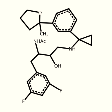 CC(=O)NC(Cc1cc(F)cc(F)c1)C(O)CNC1(c2cccc(C3(C)CCCO3)c2)CC1